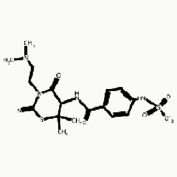 CN(C)CCN1C(=O)C(NC(=O)c2ccc(NS(=O)(=O)C(F)(F)F)cc2)C(C)(C)SC1=S